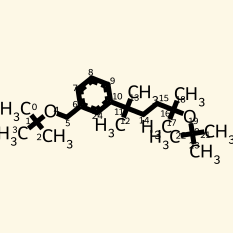 CC(C)(C)OCc1cccc(C(C)(C)CCC(C)(C)OC(C)(C)C)c1